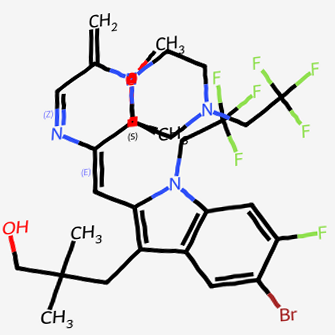 C=C(/C=N\C(=C\c1c(CC(C)(C)CO)c2cc(Br)c(F)cc2n1CC(F)(F)F)[C@H](C)OC)N1CCN(CC(F)(F)F)CC1